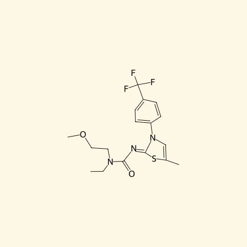 CCN(CCOC)C(=O)N=c1sc(C)cn1-c1ccc(C(F)(F)F)cc1